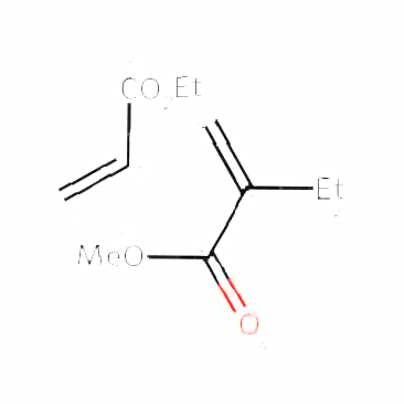 C=C(CC)C(=O)OC.C=CC(=O)OCC